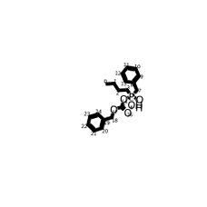 CCCCP(O)(O)(Cc1ccccc1)OC(=O)OCc1ccccc1